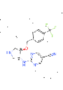 N#Cc1cnc(N[C@@H]2CNC[C@H]2OCc2ccc(C(F)(F)F)cc2)nc1